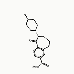 COC(=O)c1ccc2c(c1)CCCC([C@H]1CC[C@H](C)CC1)C2=O